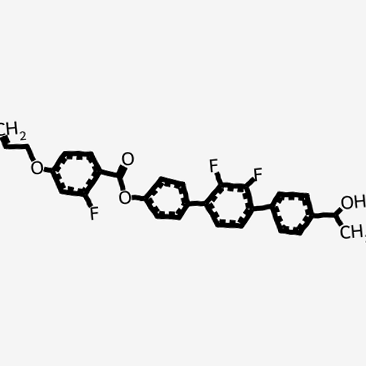 C=CCOc1ccc(C(=O)Oc2ccc(-c3ccc(-c4ccc(C(C)O)cc4)c(F)c3F)cc2)c(F)c1